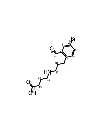 O=Cc1cc(Br)ccc1CCCNCCCC(=O)O